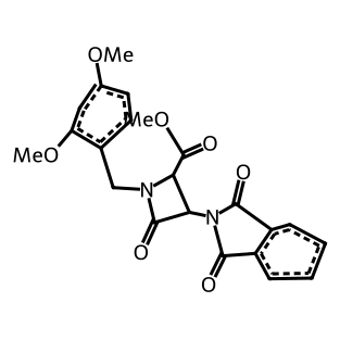 COC(=O)C1C(N2C(=O)c3ccccc3C2=O)C(=O)N1Cc1ccc(OC)cc1OC